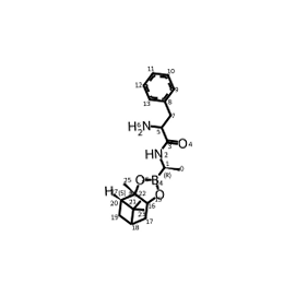 C[C@H](NC(=O)C(N)Cc1ccccc1)B1OC2CC3C[C@@H](C3(C)C)[C@]2(C)O1